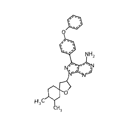 CC1CCC2(CC1C)CC(n1nc(-c3ccc(Oc4ccccc4)cc3)c3c(N)ncnc31)CO2